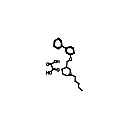 CCCCCN1CCCC(COc2cccc(-c3ccccc3)c2)C1.O=C(O)C(=O)O